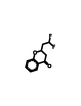 O=C1CC(CC(F)F)Oc2ccccc21